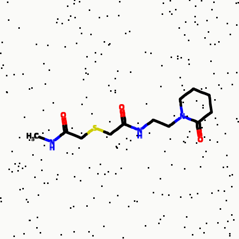 CNC(=O)CSCC(=O)NCCN1CCCCC1=O